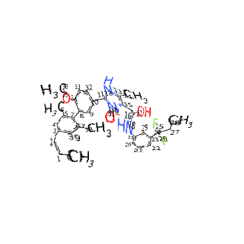 C/C=C\c1cc(C)c(-c2cc(-c3[nH]c(C)c(C(O)Nc4cccc(C(F)(F)CC)c4)[n+]3[O-])ccc2OC)c(C)c1